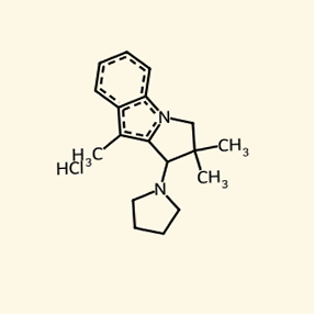 Cc1c2n(c3ccccc13)CC(C)(C)C2N1CCCC1.Cl